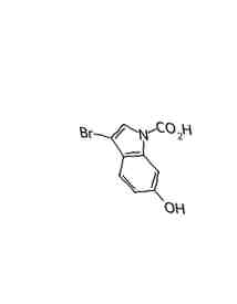 O=C(O)n1cc(Br)c2ccc(O)cc21